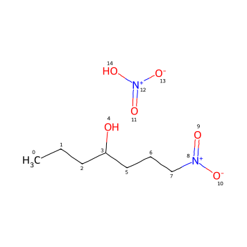 CCCC(O)CCC[N+](=O)[O-].O=[N+]([O-])O